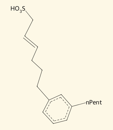 CCCCCc1cccc(CCCC=CCS(=O)(=O)O)c1